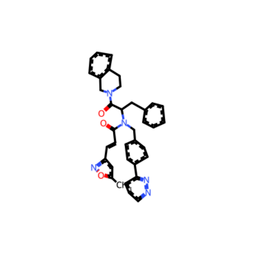 Cc1cc(C=CC(=O)N(Cc2ccc(-c3cccnn3)cc2)C(Cc2ccccc2)C(=O)N2CCc3ccccc3C2)no1